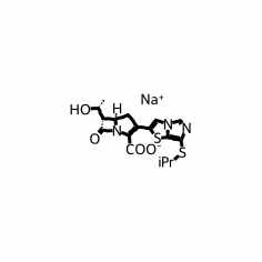 CC(C)Sc1ncn2cc(C3=C(C(=O)[O-])N4C(=O)[C@H]([C@@H](C)O)[C@H]4C3)sc12.[Na+]